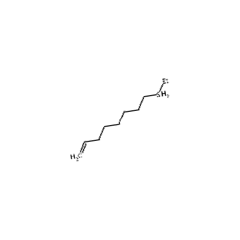 C=CCCCCCC[SiH2]CC